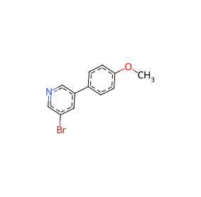 COc1ccc(-c2cncc(Br)c2)cc1